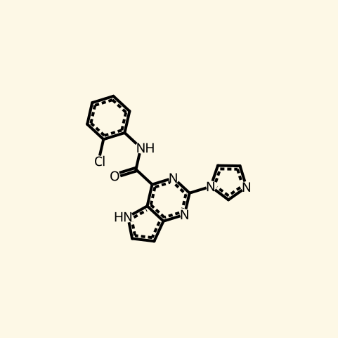 O=C(Nc1ccccc1Cl)c1nc(-n2ccnc2)nc2cc[nH]c12